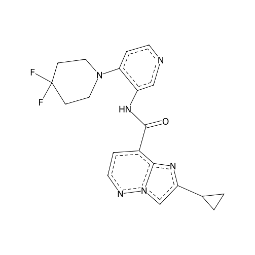 O=C(Nc1cnccc1N1CCC(F)(F)CC1)c1ccnn2cc(C3CC3)nc12